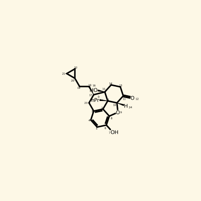 CCC[C@]12c3c4ccc(O)c3O[C@H]1C(=O)CC[C@@]2(O)[C@H](CCC1CC1)C4